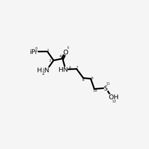 CC(C)CC(N)C(=O)NCCCCSO